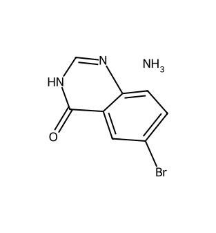 N.O=c1[nH]cnc2ccc(Br)cc12